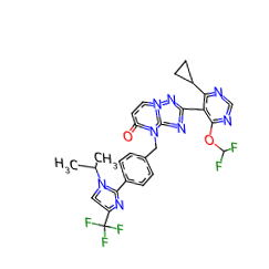 CC(C)n1cc(C(F)(F)F)nc1-c1ccc(Cn2c(=O)ccn3nc(-c4c(OC(F)F)ncnc4C4CC4)nc23)cc1